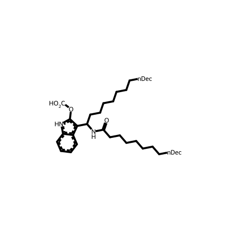 CCCCCCCCCCCCCCCCCC(=O)NC(CCCCCCCCCCCCCCCCC)c1c(OC(=O)O)[nH]c2ccccc12